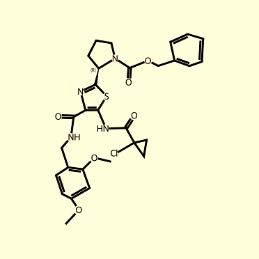 COc1ccc(CNC(=O)c2nc([C@H]3CCCN3C(=O)OCc3ccccc3)sc2NC(=O)C2(Cl)CC2)c(OC)c1